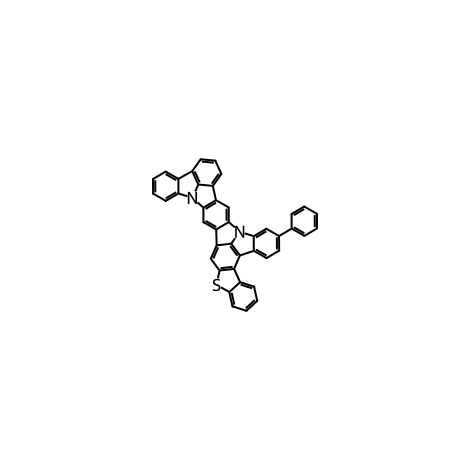 c1ccc(-c2ccc3c4c5c(cc6c7cc8c(cc7n(c3c2)c64)c2cccc3c4ccccc4n8c32)sc2ccccc25)cc1